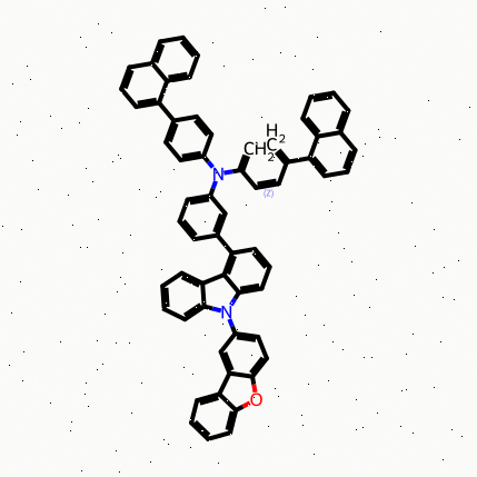 C=C(/C=C\C(=C)N(c1ccc(-c2cccc3ccccc23)cc1)c1cccc(-c2cccc3c2c2ccccc2n3-c2ccc3oc4ccccc4c3c2)c1)c1cccc2ccccc12